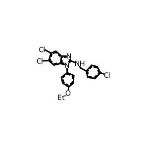 CCOc1ccc(-n2c(NCc3ccc(Cl)cc3)nc3cc(Cl)c(Cl)cc32)cc1